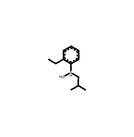 CCc1ccccc1[SiH](O)CC(C)C